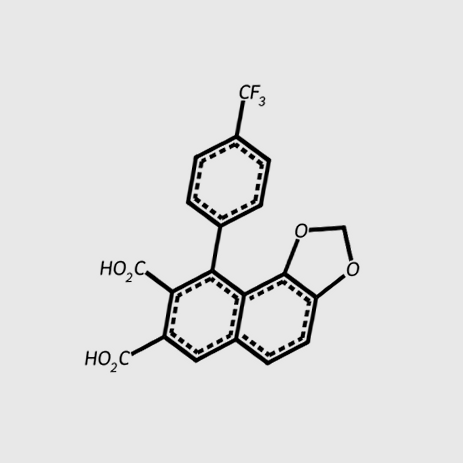 O=C(O)c1cc2ccc3c(c2c(-c2ccc(C(F)(F)F)cc2)c1C(=O)O)OCO3